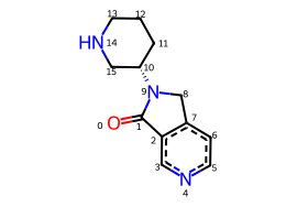 O=C1c2cnccc2CN1[C@H]1CCCNC1